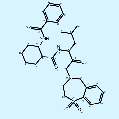 CC(C)C[C@H](NC(=O)[C@@H]1CCCC[C@@H]1NC(=O)c1ccccc1)C(=O)CN1CCS(=O)(=O)c2ccccc2C1